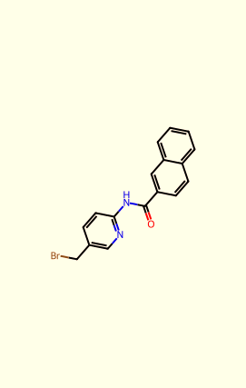 O=C(Nc1ccc(CBr)cn1)c1ccc2ccccc2c1